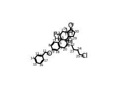 C[C@]12C[C@H](F)[C@@H]3c4ccc(OCc5ccccc5)cc4C[C@@H](CCCCCl)[C@H]3[C@@H]1CCC2=O